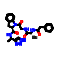 CC[C@H](C)[C@H](NC(=O)Cc1ccccc1)C(=O)NCC(=O)N1c2ccccc2C[C@H]1C(=O)NC(C)c1c[nH]nn1